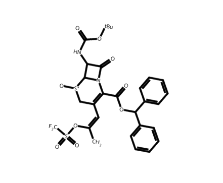 CC(=CC1=C(C(=O)OC(c2ccccc2)c2ccccc2)N2C(=O)C(NC(=O)OC(C)(C)C)C2[S+]([O-])C1)OS(=O)(=O)C(F)(F)F